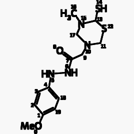 COc1ccc(NNC(=O)CN2CSC(S)N(C)C2)cc1